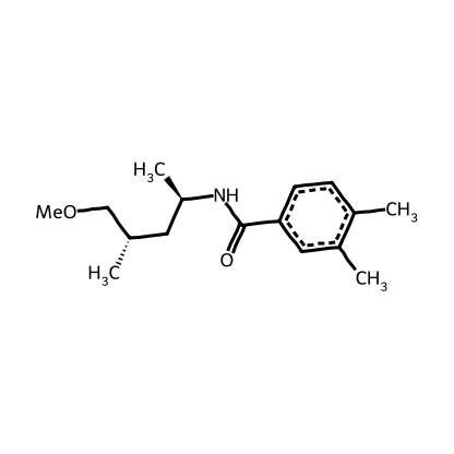 COC[C@@H](C)C[C@@H](C)NC(=O)c1ccc(C)c(C)c1